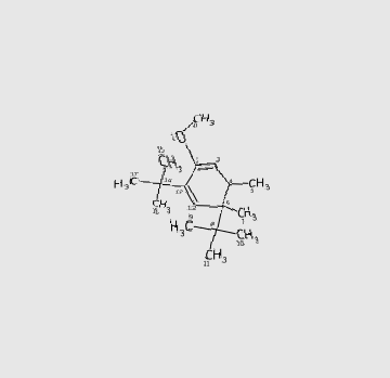 COC1=CC(C)C(C)(C(C)(C)C)C=C1C(C)(C)C